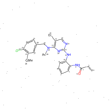 C=CC(=O)Nc1ccccc1Nc1ncc(CC)c(N(Cc2ccc(Cl)c(OC)c2)C(C)=O)n1